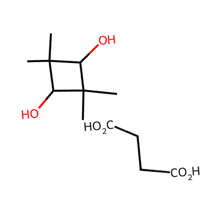 CC1(C)C(O)C(C)(C)C1O.O=C(O)CCC(=O)O